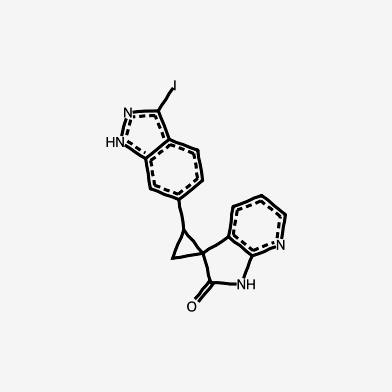 O=C1Nc2ncccc2C12CC2c1ccc2c(I)n[nH]c2c1